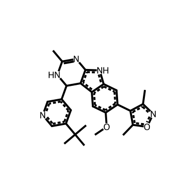 COc1cc2c3c([nH]c2cc1-c1c(C)noc1C)N=C(C)NC3c1cncc(C(C)(C)C)c1